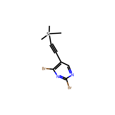 C[Si](C)(C)C#Cc1cnc(Br)nc1Br